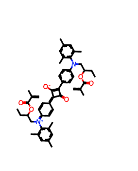 C=C(C)C(=O)OC(CC)CN(c1ccc(C2=C([O-])C(=C3C=CC(=[N+](CC(CC)OC(=O)C(=C)C)c4c(C)cc(C)cc4C)C=C3)C2=O)cc1)c1c(C)cc(C)cc1C